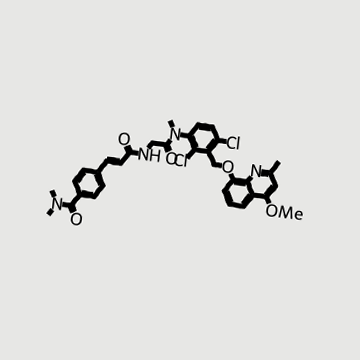 COc1cc(C)nc2c(OCc3c(Cl)ccc(N(C)C(=O)CNC(=O)/C=C/c4ccc(C(=O)N(C)C)cc4)c3Cl)cccc12